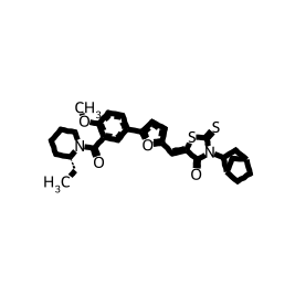 CC[C@@H]1CCCCN1C(=O)c1cc(-c2ccc(/C=C3\SC(=S)N(C4CC5CCC4C5)C3=O)o2)ccc1OC